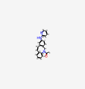 CC(=O)N1Cc2ccc(Nc3ccccn3)cc2C=Cc2ccccc21